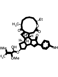 CC[C@H]1CCCC[C@@H](C)C(=O)C2=C[C@@H]3[C@@H](C4C(=O)C(c5ccc(N)cc5)=CC4C4C[C@@H](O[C@H](O)/C(OC)=C(/C)OC)C[C@H]43)[C@@H]2CC(=O)O1